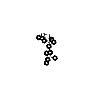 CC1(C)c2ccccc2-c2ccc(N(c3ccc(-c4ccc(N(c5ccccc5)c5ccc6ccccc6c5)c5ccccc45)cc3)c3cccc4ccccc34)cc21